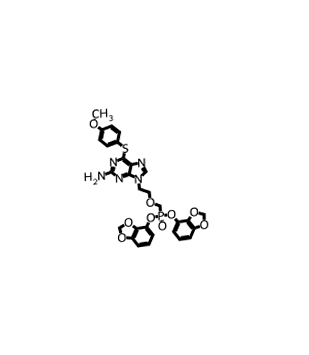 COc1ccc(Sc2nc(N)nc3c2ncn3CCOCP(=O)(Oc2cccc3c2OCO3)Oc2cccc3c2OCO3)cc1